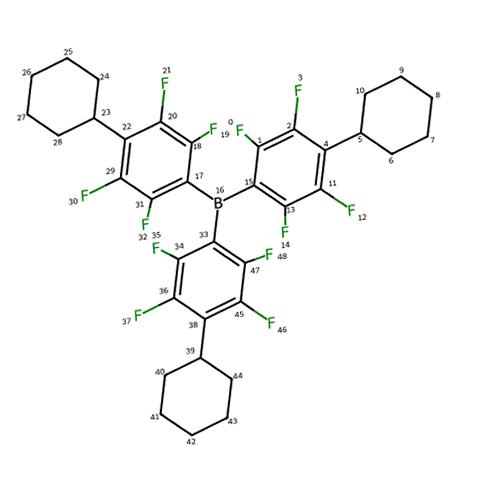 Fc1c(F)c(C2CCCCC2)c(F)c(F)c1B(c1c(F)c(F)c(C2CCCCC2)c(F)c1F)c1c(F)c(F)c(C2CCCCC2)c(F)c1F